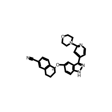 N#Cc1ccc2c(c1)CCC[C@H]2Oc1ccc2[nH]nc(-c3ccnc(N4CCOCC4)c3)c2c1